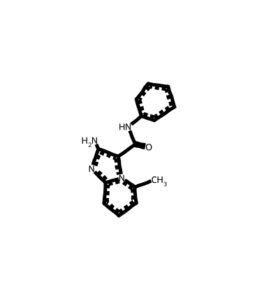 Cc1cccc2nc(N)c(C(=O)Nc3ccccc3)n12